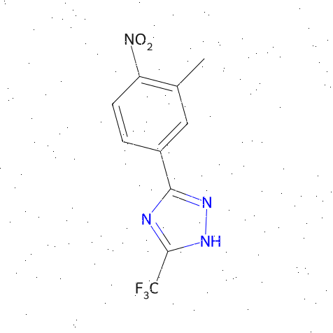 Cc1cc(-c2n[nH]c(C(F)(F)F)n2)ccc1[N+](=O)[O-]